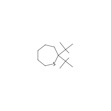 CC(C)(C)C1(C(C)(C)C)CCCCCS1